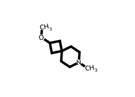 COC1CC2(CCN(C)CC2)C1